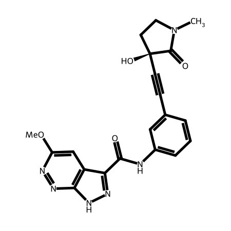 COc1cc2c(C(=O)Nc3cccc(C#C[C@]4(O)CCN(C)C4=O)c3)n[nH]c2nn1